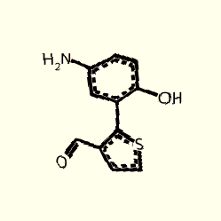 Nc1ccc(O)c(-c2sccc2C=O)c1